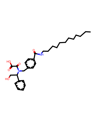 CCCCCCCCCCCCNC(=O)c1ccc(CN(C(=O)C(=O)O)C(CO)c2ccccc2)cc1